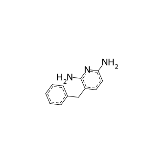 Nc1ccc(Cc2ccccc2)c(N)n1